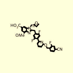 COc1cc(C(=O)O)cc2c1nc(Cc1cc(F)c(-c3cccc(OCc4ccc(C#N)cc4F)n3)cc1F)n2C[C@@H]1CCO1